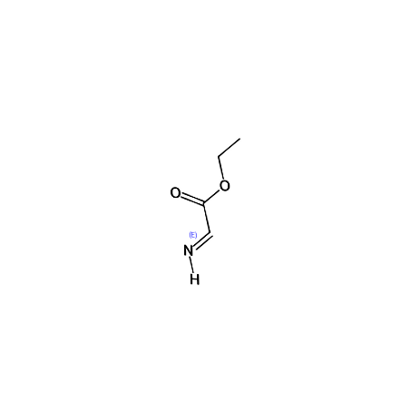 [H]/N=C/C(=O)OCC